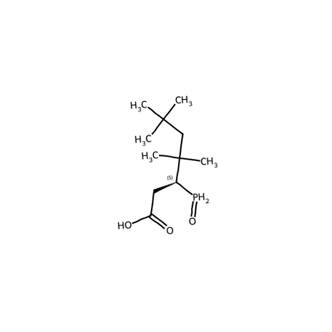 CC(C)(C)CC(C)(C)[C@H](CC(=O)O)[PH2]=O